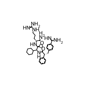 N=C(N)NCCC[C@H](NC(=O)[C@@H](NC(=O)[C@H](Cc1ccc(C(=N)N)cc1)c1ccccc1)C1CCCCC1)C(N)=O